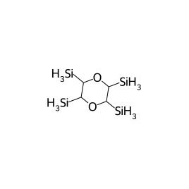 [SiH3]C1OC([SiH3])C([SiH3])OC1[SiH3]